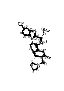 COC[C@H](Nc1ncnc2cc(C(=O)N3CCSC3)c(Br)cc12)c1nc2cc(Cl)ccc2[nH]1